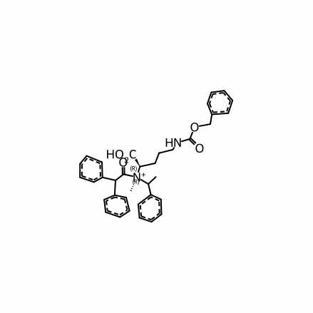 CC(c1ccccc1)[N@@+](C)(C(=O)C(c1ccccc1)c1ccccc1)[C@H](CCCNC(=O)OCc1ccccc1)C(=O)O